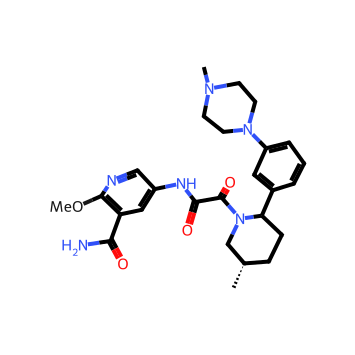 COc1ncc(NC(=O)C(=O)N2C[C@@H](C)CCC2c2cccc(N3CCN(C)CC3)c2)cc1C(N)=O